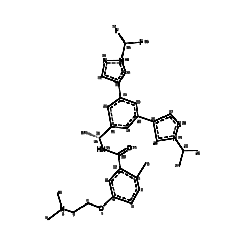 Cc1ccc(OCCN(C)C)cc1C(=O)N[C@H](C)c1cc(-c2cnn(C(C)C)c2)cc(-c2cnn(C(F)F)c2)c1